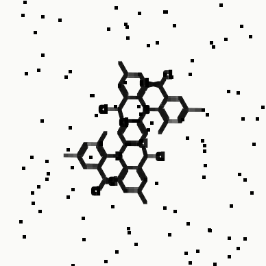 Cc1cc(C)c(B(c2ccc(B(c3c(C)cc(C)cc3C(Cl)Cl)c3c(C)cc(C)cc3C(Cl)Cl)cc2)c2c(C)cc(C)cc2C(Cl)Cl)c(C(Cl)Cl)c1